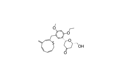 C=C1/C=C\C=C/CS/C(Cc2cc([C@H]3CC(=O)C[C@@H](CO)O3)c(OCC)cc2OC)=C\1